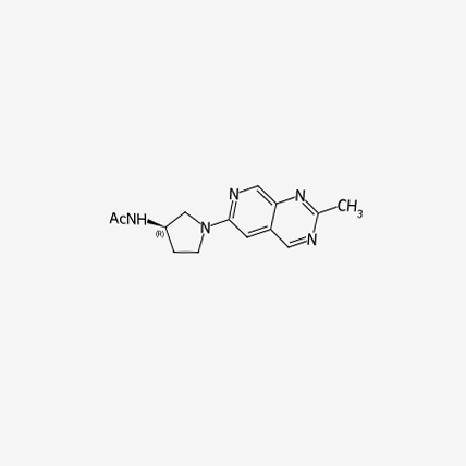 CC(=O)N[C@@H]1CCN(c2cc3cnc(C)nc3cn2)C1